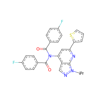 CC(C)n1ncc2c(N(C(=O)c3ccc(F)cc3)C(=O)c3ccc(F)cc3)cc(-c3cccs3)nc21